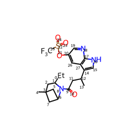 CCC1CC2(C)CC(C2)N1C(=O)CC(C)c1c[nH]c2ncc(OS(=O)(=O)C(F)(F)F)cc12